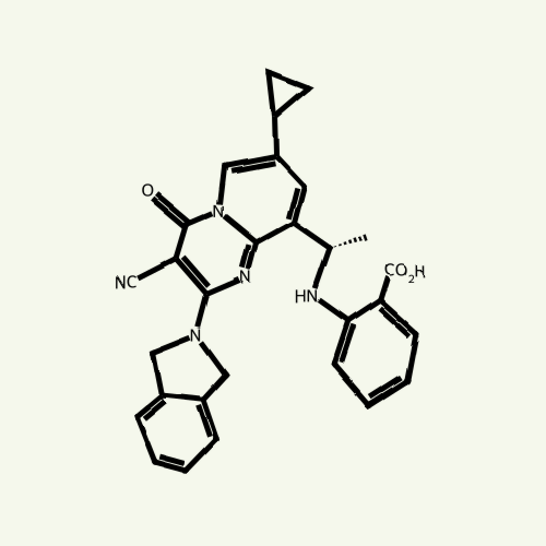 C[C@H](Nc1ccccc1C(=O)O)c1cc(C2CC2)cn2c(=O)c(C#N)c(N3Cc4ccccc4C3)nc12